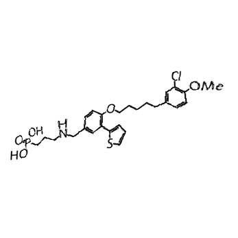 COc1ccc(CCCCCOc2ccc(CNCCCP(=O)(O)O)cc2-c2cccs2)cc1Cl